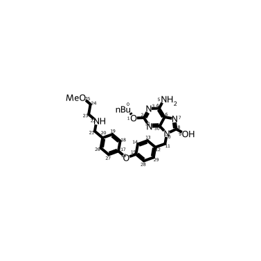 CCCCOc1nc(N)c2nc(O)n(Cc3ccc(Oc4ccc(CNCCOC)cc4)cc3)c2n1